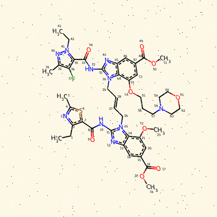 CCc1nc(C)sc1C(=O)Nc1nc2cc(C(=O)OC)cc(OC)c2n1CC=CCn1c(NC(=O)c2c(F)c(C)nn2CC)nc2cc(C(=O)OC)cc(OCCCN3CCOCC3)c21